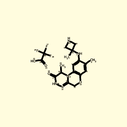 Cc1cc2c(cc1NC1(C)CNC1)N1C(=NNC(=O)C1C)CO2.O=C(O)C(F)(F)F